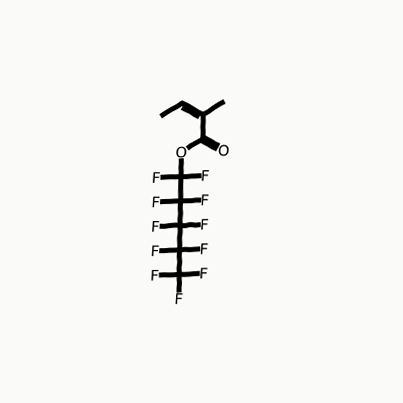 CC=C(C)C(=O)OC(F)(F)C(F)(F)C(F)(F)C(F)(F)C(F)(F)F